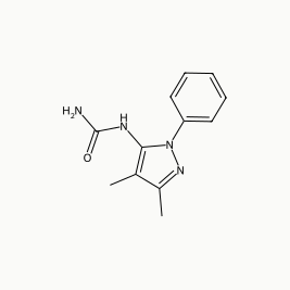 Cc1nn(-c2ccccc2)c(NC(N)=O)c1C